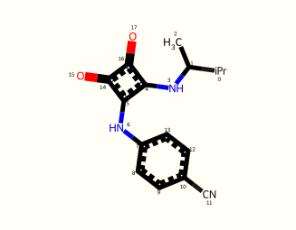 CC(C)C(C)Nc1c(Nc2ccc(C#N)cc2)c(=O)c1=O